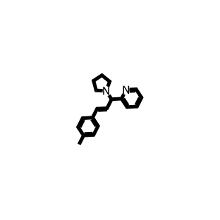 Cc1ccc(/C=C/C(c2ccccn2)N2CCCC2)cc1